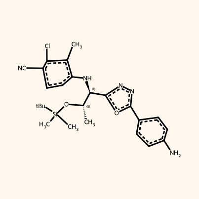 Cc1c(N[C@@H](c2nnc(-c3ccc(N)cc3)o2)[C@H](C)O[Si](C)(C)C(C)(C)C)ccc(C#N)c1Cl